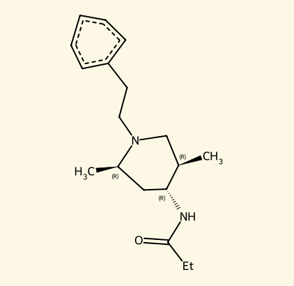 CCC(=O)N[C@@H]1C[C@@H](C)N(CCc2ccccc2)C[C@H]1C